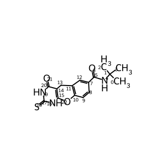 CC(C)(C)NC(=O)c1ccc2c(c1)Cc1c([nH]c(=S)[nH]c1=O)O2